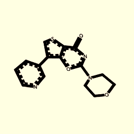 O=c1nc(N2CCOCC2)oc2c(-c3cccnc3)csc12